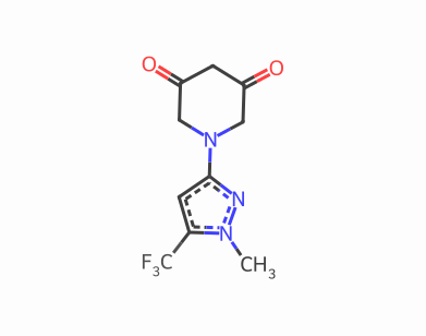 Cn1nc(N2CC(=O)CC(=O)C2)cc1C(F)(F)F